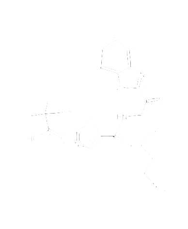 NCCCC[C@H](NC(=O)c1cncs1)C(=O)c1nc2ccccc2s1.O=C(O)C(F)(F)F